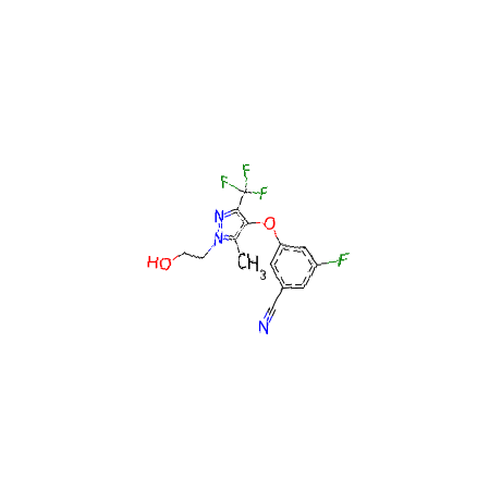 Cc1c(Oc2cc(F)cc(C#N)c2)c(C(F)(F)F)nn1CCO